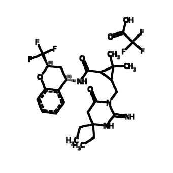 CCC1(CC)CC(=O)N(CC2C(C(=O)N[C@H]3C[C@H](C(F)(F)F)Oc4ccccc43)C2(C)C)C(=N)N1.O=C(O)C(F)(F)F